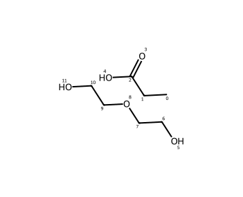 CCC(=O)O.OCCOCCO